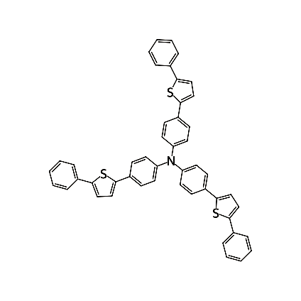 c1ccc(-c2ccc(-c3ccc(N(c4ccc(-c5ccc(-c6ccccc6)s5)cc4)c4ccc(-c5ccc(-c6ccccc6)s5)cc4)cc3)s2)cc1